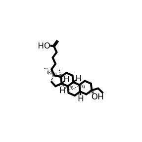 C=C(O)CCC[C@@H](C)[C@H]1CC[C@H]2[C@@H]3CC[C@H]4C[C@](O)(CC)CC[C@]4(C)[C@H]3CC[C@]12C